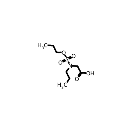 CCCOS(=O)(=O)N(CCC)CC(=O)O